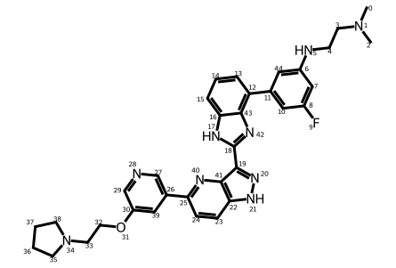 CN(C)CCNc1cc(F)cc(-c2cccc3[nH]c(-c4n[nH]c5ccc(-c6cncc(OCCN7CCCC7)c6)nc45)nc23)c1